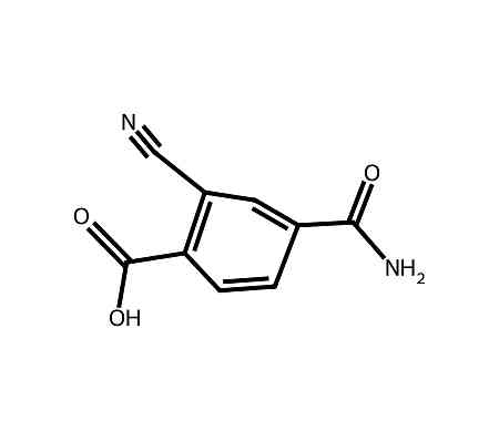 N#Cc1cc(C(N)=O)ccc1C(=O)O